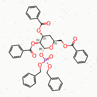 O=C(OC[C@@H]1C[C@H](OC(=O)c2ccccc2)[C@H](OC(=O)c2ccccc2)[C@@H](OP(=O)(OCc2ccccc2)OCc2ccccc2)O1)c1ccccc1